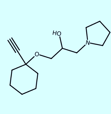 C#CC1(OCC(O)CN2CCCC2)CCCCC1